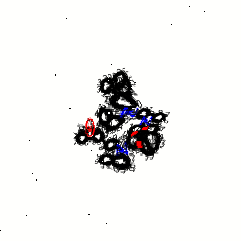 c1cc(-n2c3ccccc3c3ccc(N(c4ccc5c(c4)C4CC6CC(CC(C6)c6ccccc6-5)C4)c4cccc5ccccc45)cc32)cc(C23CC4CC(C2)c2ccccc2-c2ccc(N(c5ccc(-c6ccc7oc8ccccc8c7c6)cc5)c5cccc6ccccc56)cc2C(C4)C3)c1